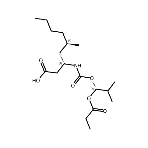 CCCC[C@@H](C)C[C@@H](CC(=O)O)NC(=O)O[C@@H](OC(=O)CC)C(C)C